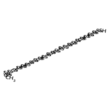 COS(=S)(=S)SSSSSSSSSSSSSSSSSSSSSSSSSSSSSSSSSSSSSSSSSSSS